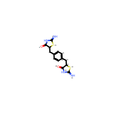 N=C1NC(=O)C(Cc2ccc(CC3SC(=N)NC3=O)cc2)S1